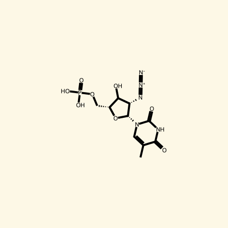 Cc1cn([C@@H]2O[C@H](COP(=O)(O)O)C(O)[C@@H]2N=[N+]=[N-])c(=O)[nH]c1=O